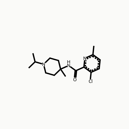 Cc1ccc(Cl)c(C(=O)NC2(C)CCN(C(C)C)CC2)n1